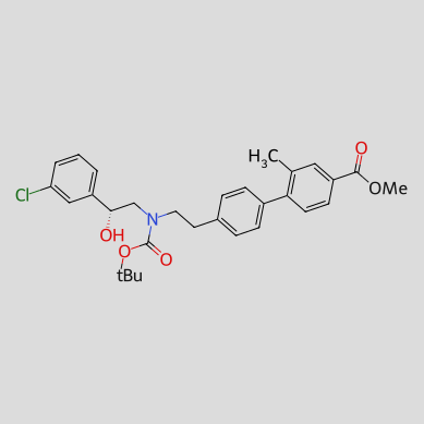 COC(=O)c1ccc(-c2ccc(CCN(C[C@H](O)c3cccc(Cl)c3)C(=O)OC(C)(C)C)cc2)c(C)c1